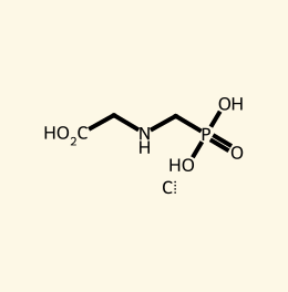 O=C(O)CNCP(=O)(O)O.[C]